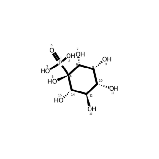 O=P(O)(O)[C@]1(O)[C@H](O)[C@H](O)[C@H](O)[C@@H](O)[C@@H]1O